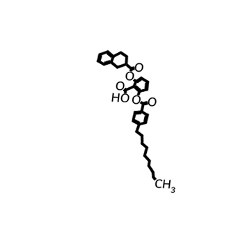 CCCCCCCCCCc1ccc(C(=O)Oc2cccc(OC(=O)C3CCc4ccccc4C3)c2C(=O)O)cc1